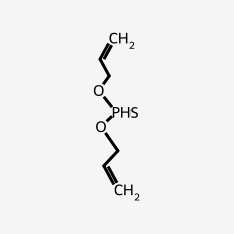 C=CCO[PH](=S)OCC=C